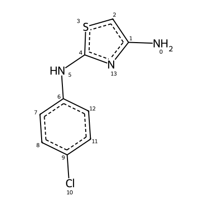 Nc1csc(Nc2ccc(Cl)cc2)n1